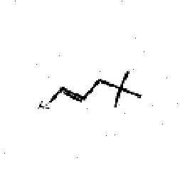 CC(=O)C=CCC(C)(C)C